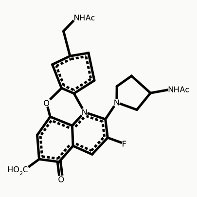 CC(=O)NCc1ccc2c(c1)Oc1cc(C(=O)O)c(=O)c3cc(F)c(N4CCC(NC(C)=O)C4)n-2c1-3